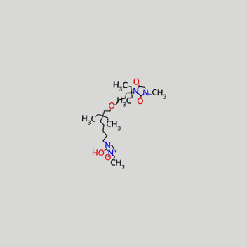 CCN1CC(=O)N(C(CC)(CC)CCCCOCCC(CC)(CC)CCCCCN2CC[N+]([O-])(CC)C2O)C1=O